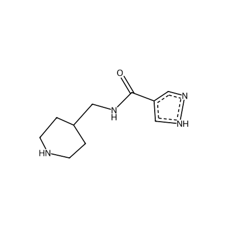 O=C(NCC1CCNCC1)c1cn[nH]c1